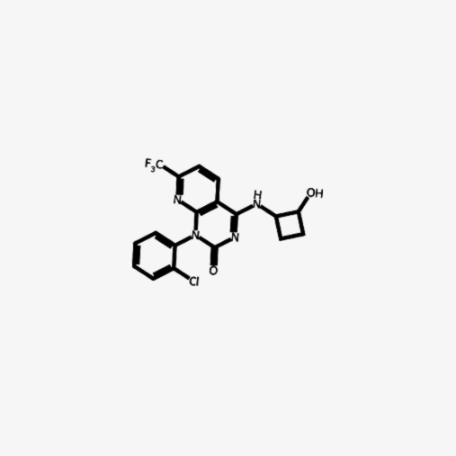 O=c1nc(NC2CCC2O)c2ccc(C(F)(F)F)nc2n1-c1ccccc1Cl